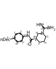 CCCCCCCCCCc1ccc(NC(=O)[C@@H]2CCCN(C(=N)N)C2)cc1